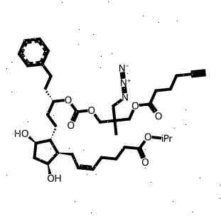 C#CCCCC(=O)OCC(C)(CN=[N+]=[N-])COC(=O)O[C@@H](CCc1ccccc1)CC[C@@H]1[C@@H](C/C=C\CCCC(=O)OC(C)C)[C@@H](O)C[C@H]1O